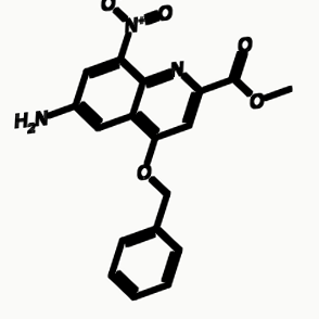 COC(=O)c1cc(OCc2ccccc2)c2cc(N)cc([N+](=O)[O-])c2n1